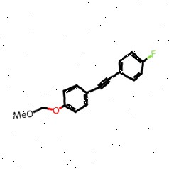 COCOc1ccc(C#Cc2ccc(F)cc2)cc1